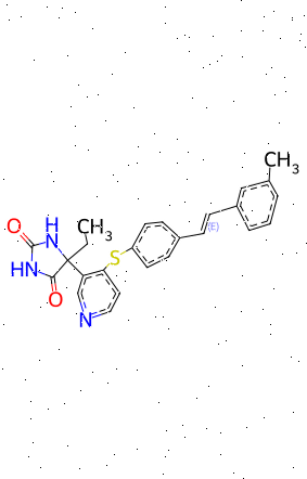 CCC1(c2cnccc2Sc2ccc(/C=C/c3cccc(C)c3)cc2)NC(=O)NC1=O